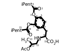 CCCC(C)C(=O)Oc1ccc(C[C@H](NCC(C)OC(C)=O)C(=O)O)cc1OC(=O)C(C)CCC